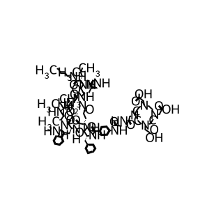 CCCCCNC(=O)[C@H](CC(C)C)NC(=O)[C@H](Cc1c[nH]cn1)NC(=O)CNC(=O)[C@@H](NC(=O)[C@H](C)NC(=O)[C@H](Cc1c[nH]c2ccccc12)NC(=O)[C@H](CCC(N)=O)NC(=O)[C@@H](Cc1ccccc1)NC(=O)c1ccc(NC(=O)CNC(=O)CN2CCN(CC(=O)O)CCN(CC(=O)O)CCN(CC(=O)O)CC2)cc1)C(C)C